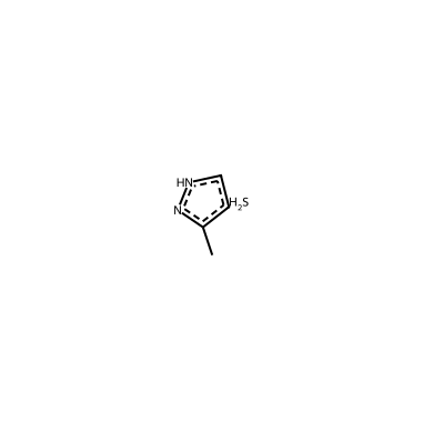 Cc1cc[nH]n1.S